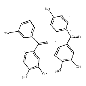 O=C(c1ccc(O)cc1)c1ccc(O)c(O)c1.O=C(c1cccc(O)c1)c1ccc(O)c(O)c1